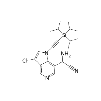 CC(C)[Si](C#Cn1cc(Cl)c2cncc(C(N)C#N)c21)(C(C)C)C(C)C